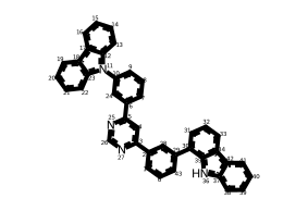 c1cc(-c2cc(-c3cccc(-n4c5ccccc5c5ccccc54)c3)ncn2)cc(-c2cccc3c2[nH]c2ccccc23)c1